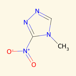 Cn1cnnc1[N+](=O)[O-]